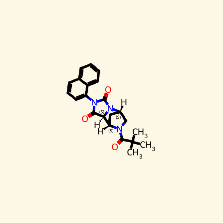 CC(C)(C)C(=O)N1C[C@@H]2C[C@H]1[C@H]1C(=O)N(c3cccc4ccccc34)C(=O)N21